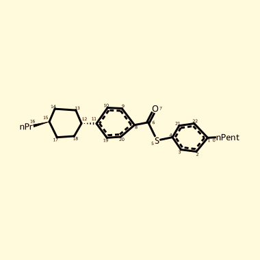 CCCCCc1ccc(SC(=O)c2ccc([C@H]3CC[C@H](CCC)CC3)cc2)cc1